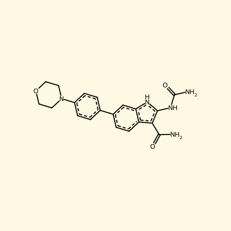 NC(=O)Nc1[nH]c2cc(-c3ccc(N4CCOCC4)cc3)ccc2c1C(N)=O